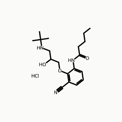 CCCCC(=O)Nc1cccc(C#N)c1OCC(O)CNC(C)(C)C.Cl